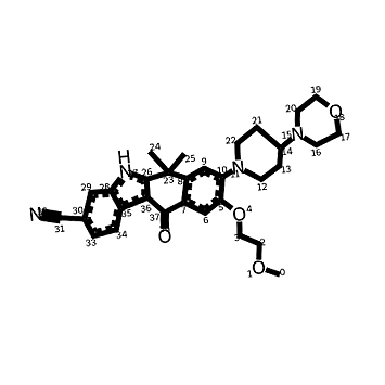 COCCOc1cc2c(cc1N1CCC(N3CCOCC3)CC1)C(C)(C)c1[nH]c3cc(C#N)ccc3c1C2=O